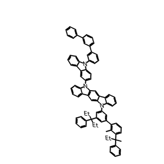 CCC(C)(c1ccccc1)c1cccc(-c2cc(-n3c4ccccc4c4cc5c(cc43)c3ccccc3n5-c3ccc4c(c3)c3ccccc3n4-c3cccc(-c4cccc(-c5ccccc5)c4)c3)cc(C(CC)(CC)c3ccccc3)c2)c1C